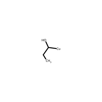 CC[CH](O)[Cu]